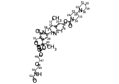 CCc1c2c(nc3ccc(OC(=O)N4CCC(N5CCCCC5)CC4)cc13)-c1cc3c(c(=O)n1C2)COC(=O)[C@@]3(CC)OC(=O)OCCOCCNC=O